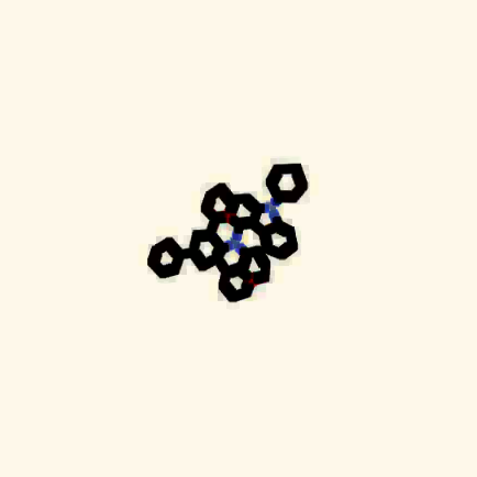 c1ccc(-c2cc(-c3ccccc3)c(N(c3ccccc3)c3cccc4c3c3ccccc3n4-c3ccccc3)c(-c3ccccc3)c2)cc1